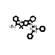 CC(C)(C)c1c2n(c3ccccc13)-c1cc3c4c(n(-c5nc(-c6ccccc6)nc(-c6ccccc6)n5)c3cc1C2(C)C)CCC=C4